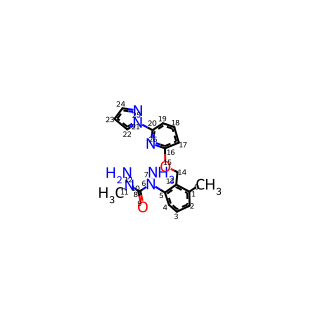 Cc1cccc(N(N)C(=O)N(C)N)c1COc1cccc(-n2cccn2)n1